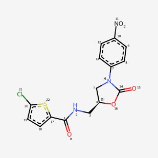 O=C(NC[C@H]1CN(c2ccc([N+](=O)[O-])cc2)C(=O)O1)c1ccc(Cl)s1